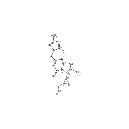 O=c1cc(Cn2nc(C(F)(F)F)cc2Cl)nc2sc(C(F)(F)F)c(C3CC3CO)n12